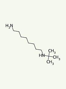 CC(C)(C)NCCCCCCCCN